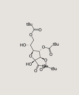 CC(C)(C)C(=O)OC[C@@H](O)[C@@H]1O[C@@](O)(C(=O)C(C)(C)C)[C@H](OC(=O)C(C)(C)C)[C@H]1OC(=O)C(C)(C)C